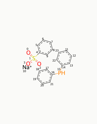 O=S(=O)([O-])c1ccccc1.[Na+].c1ccc(Pc2ccccc2)cc1